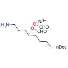 CCCCCCCCCCCCCCCCCCN.O=C[O-].O=C[O-].[Ni+2]